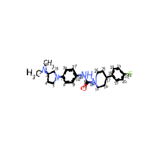 CN(C)C1CCN(c2ccc(NC(=O)N3CCC(c4ccc(F)cc4)CC3)cc2)C1